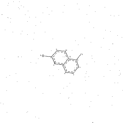 Cc1cccc2cc([O])ccc12